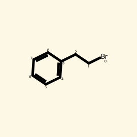 BrCCc1c[c]ccc1